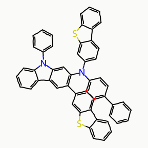 c1ccc(-c2ccc(N(c3ccc4c(c3)sc3ccccc34)c3cc4c(cc3-c3ccc5c(c3)sc3ccccc35)c3ccccc3n4-c3ccccc3)cc2)cc1